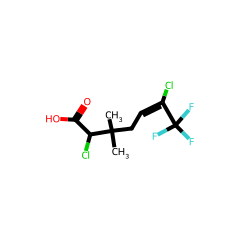 CC(C)(C/C=C(/Cl)C(F)(F)F)C(Cl)C(=O)O